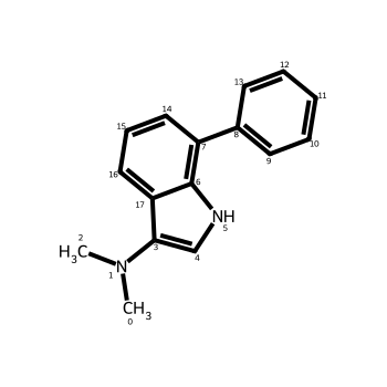 CN(C)c1c[nH]c2c(-c3ccccc3)cccc12